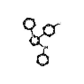 Clc1ccc(-c2c(Nc3ccccc3)ccn2-c2ccccc2)cc1